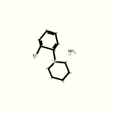 CCc1ccccc1N1CCCCC1.N